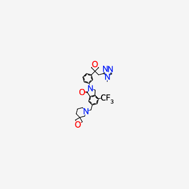 Cn1cnnc1CC1(c2cccc(N3Cc4c(cc(CN5CCCC6(COC6)C5)cc4C(F)(F)F)C3=O)c2)COC1